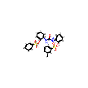 Cc1cccc(S(=O)(=O)Oc2ccccc2NC(=O)Nc2ccccc2OS(=O)(=O)c2ccccc2)c1